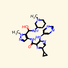 CN1CCCC(NC(O)c2c(NC(=O)c3nc(C4CC4)cnc3Nc3cncnc3)cnn2C)C1